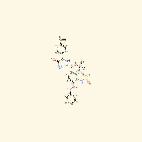 CC[Si](CC)(CC)O[C@@H](CNC(C(N)=O)c1ccc(OC)cc1)c1ccc(OCc2ccccc2)c(NS(C)(=O)=O)c1